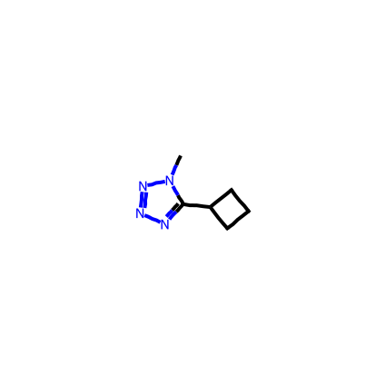 Cn1nnnc1C1CCC1